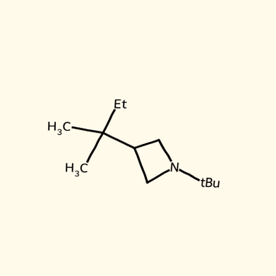 CCC(C)(C)C1CN(C(C)(C)C)C1